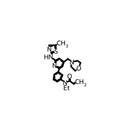 C=CC(=O)N(CC)c1cccc(-c2cc(CN3CCOCC3)cc(Nc3ncc(C)s3)n2)c1